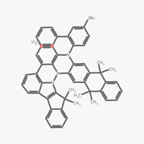 Cc1cc2c3c(c1)N(c1ccc(C(C)(C)C)cc1-c1ccccc1)c1cc4c(cc1B3n1c3c(c5cccc-2c51)-c1ccccc1C3(C)C)C(C)(C)c1ccccc1C4(C)C